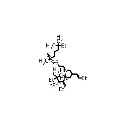 CCC=CC(CNCCSSP(C)(=S)CCCC(C)(C)CC)CNC(=CCC)[C@H](CCC)C(C)(C)CC